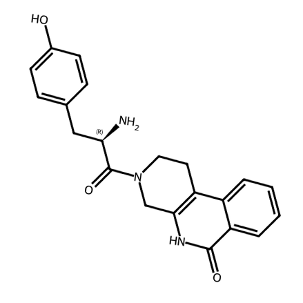 N[C@H](Cc1ccc(O)cc1)C(=O)N1CCc2c([nH]c(=O)c3ccccc23)C1